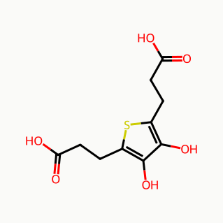 O=C(O)CCc1sc(CCC(=O)O)c(O)c1O